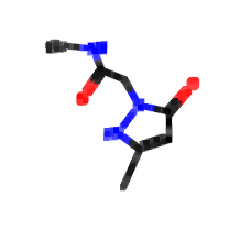 Cc1cc(=O)n(CC(=O)NC(C)(C)C)[nH]1